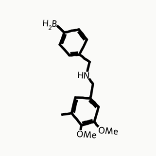 Bc1ccc(CNCc2cc(C)c(OC)c(OC)c2)cc1